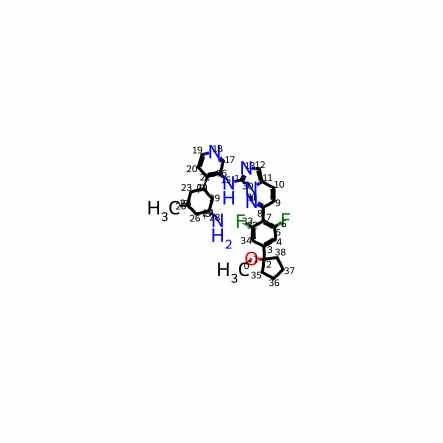 COC1(c2cc(F)c(-c3ccc4cnc(Nc5cnccc5[C@@H]5C[C@H](C)C[C@H](N)C5)n4n3)c(F)c2)CCCC1